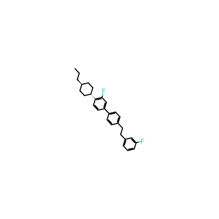 CCC[C@H]1CC[C@H](c2ccc(-c3ccc(CCc4cccc(F)c4)cc3)cc2F)CC1